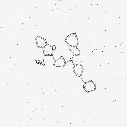 CC(C)(C)c1c(-c2cccc(N(c3ccc(-c4ccccc4)cc3)c3ccc4ccccc4c3)c2)oc2ccccc12